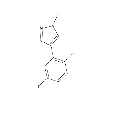 Cc1ccc(I)cc1-c1cnn(C)c1